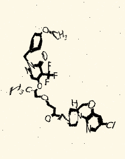 COc1ccc(Cn2ncc(O[C@@H](C)COCCC(=O)N3CCN4c5ncc(Cl)cc5OC[C@@H]4C3)c(C(F)(F)F)c2=O)cc1